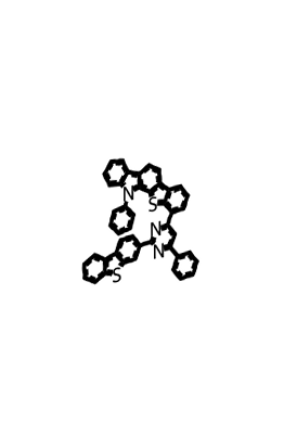 c1ccc(-c2cc(-c3cccc4c3sc3c4ccc4c5ccccc5n(-c5ccccc5)c43)nc(-c3ccc4c(c3)sc3ccccc34)n2)cc1